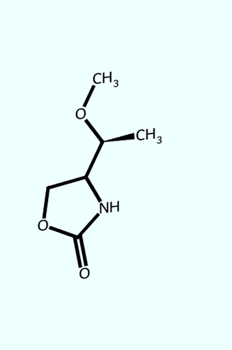 CO[C@@H](C)C1COC(=O)N1